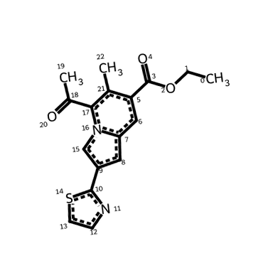 CCOC(=O)c1cc2cc(-c3nccs3)cn2c(C(C)=O)c1C